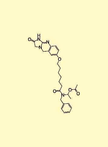 CC(=O)OC(C)N(Cc1ccccc1)C(=O)CCCCCCOc1ccc2c(c1)CN1CC(=O)NC1=N2